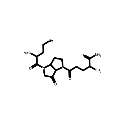 COC(CCC(C)C)C(=O)N1CC(=O)C2C1CCN2C(=O)[CH]CC(C)C(N)=O